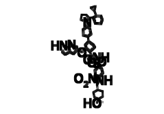 C[C@]1(O)CC[C@@H](CNc2ccc(S(=O)(=O)NC(=O)c3ccc(-c4ccc(N5CCC[C@H]5c5ccccc5C5CC5)cc4)cc3Oc3cnc4[nH]ccc4c3)cc2[N+](=O)[O-])CC1